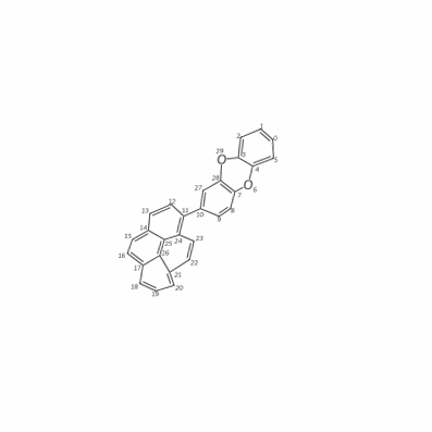 c1ccc2c(c1)Oc1ccc(-c3ccc4ccc5cccc6ccc3c4c56)cc1O2